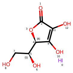 I.O=C1O[C@H]([C@@H](O)CO)C(O)=C1O